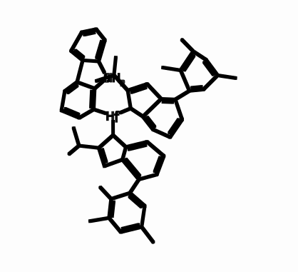 Cc1cc(C)c(C)c(-c2cccc3c2C=C(C(C)C)[CH]3[Hf]([c]2cccc3c2[SiH2]c2ccccc2-3)[CH]2C(C(C)C)=Cc3c(-c4cc(C)cc(C)c4C)cccc32)c1